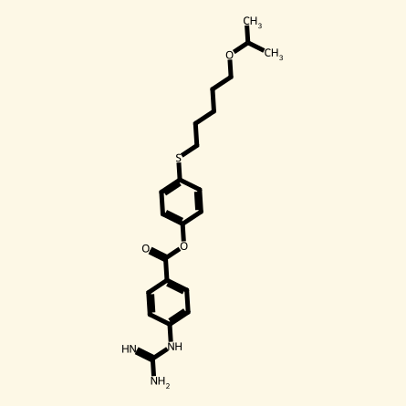 CC(C)OCCCCCSc1ccc(OC(=O)c2ccc(NC(=N)N)cc2)cc1